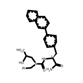 CC(C)CN(CC(O)C(=O)O)C(=O)N[C@@H](Cc1ccc(-c2ccc3ccccc3c2)cc1)C(N)=O